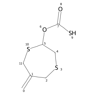 C=C1CSCC(OC(=O)S)SC1